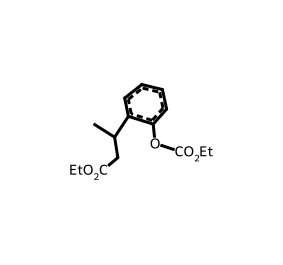 CCOC(=O)CC(C)c1ccccc1OC(=O)OCC